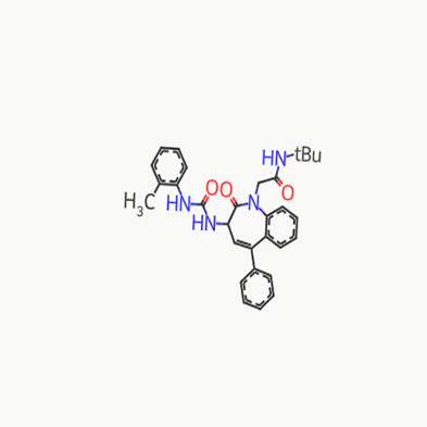 Cc1ccccc1NC(=O)NC1C=C(c2ccccc2)c2ccccc2N(CC(=O)NC(C)(C)C)C1=O